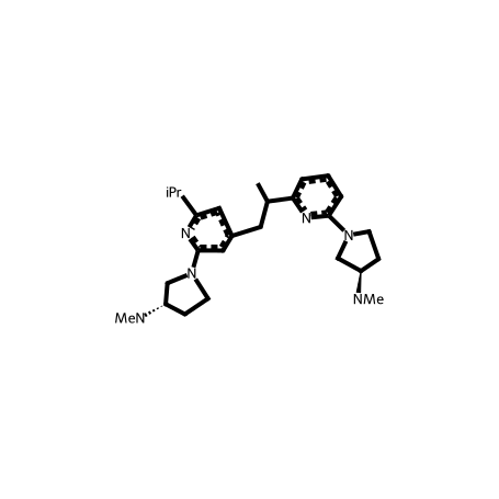 CN[C@@H]1CCN(c2cccc(C(C)Cc3cc(C(C)C)nc(N4CC[C@H](NC)C4)c3)n2)C1